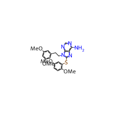 COc1cc(CCn2c(Sc3cc(OC)ccc3OC)nc3c(N)ncnc32)cc(OC)c1